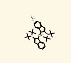 CC(C)(C)P(C1=Cc2ccccc2[CH]1[Zr+2][CH]1C(P(C(C)(C)C)C(C)(C)C)=Cc2ccccc21)C(C)(C)C.[Cl-].[Cl-]